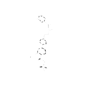 CC(C)COc1cc(-c2ccc(CCN(C[C@@H](O)c3cccnc3)C(=O)O)cc2)ccc1C(=O)NS(C)(=O)=O